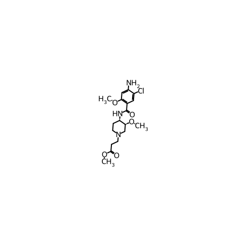 COC(=O)CCN1CC[C@@H](NC(=O)c2cc(Cl)c(N)cc2OC)[C@@H](OC)C1